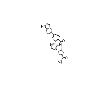 O=C(C1CC1)N1CC[C@@H](CN(C(=O)c2ccc(-c3ccc4[nH]ccc4c3)cc2)c2cnccn2)C1